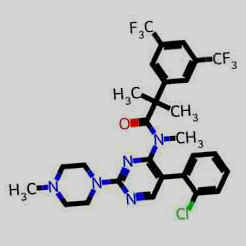 CN1CCN(c2ncc(-c3ccccc3Cl)c(N(C)C(=O)C(C)(C)c3cc(C(F)(F)F)cc(C(F)(F)F)c3)n2)CC1